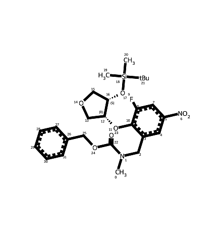 CN(Cc1cc([N+](=O)[O-])cc(F)c1O[C@@H]1COC[C@@H]1O[Si](C)(C)C(C)(C)C)C(=O)OCc1ccccc1